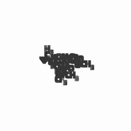 COc1nc(C2(C)CC2)cnc1Oc1nnc(C(F)(F)F)c(C)c1C(=O)Nc1cccc(S(C)(=O)=O)c1